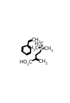 C=C(CC[Si](C)(C)C)C(=O)O.C=Cc1ccccc1